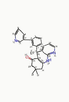 CC[C@@]1(c2cccc(-c3cccnc3)c2)C2=C(CC(C)(C)CC2=O)Nc2ncccc21